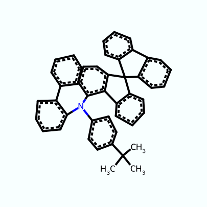 CC(C)(C)c1ccc(N(c2ccccc2-c2ccccc2)c2cccc3c2-c2ccccc2C32c3ccccc3-c3ccccc32)cc1